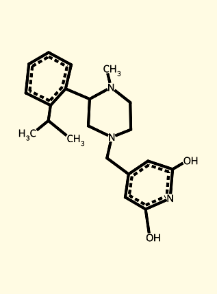 CC(C)c1ccccc1C1CN(Cc2cc(O)nc(O)c2)CCN1C